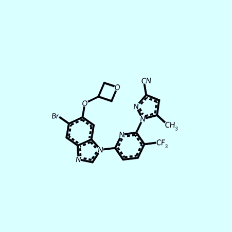 Cc1cc(C#N)nn1-c1nc(-n2cnc3cc(Br)c(OC4COC4)cc32)ccc1C(F)(F)F